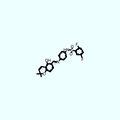 CC1(C)C=Cc2c(ccc(/C=N/c3ccc(NS(=O)(=O)c4cc(F)ccc4F)cc3)c2O)O1